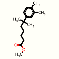 COC(=O)CCCCC(C)(C)c1ccc(C)c(C)c1